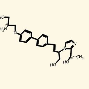 C[C@H](O)c1nccn1C(C=Cc1ccc(-c2ccc(OC[C@H](N)CO)cc2)cc1)CO